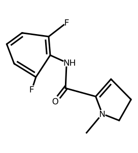 CN1CCC=C1C(=O)Nc1c(F)cccc1F